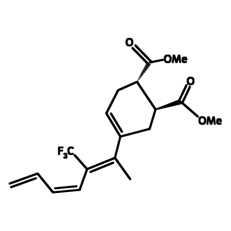 C=C/C=C\C(=C(/C)C1=CC[C@H](C(=O)OC)[C@@H](C(=O)OC)C1)C(F)(F)F